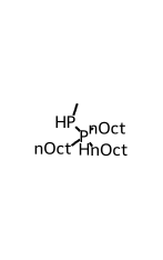 CCCCCCCC[PH](CCCCCCCC)(CCCCCCCC)PC